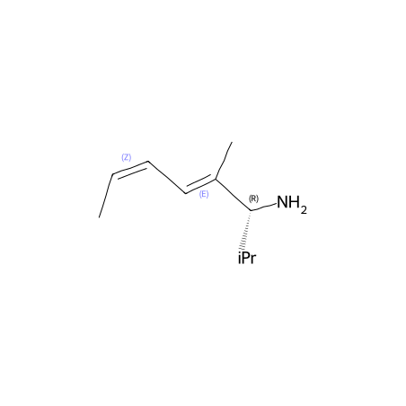 C/C=C\C=C(/C)[C@H](N)C(C)C